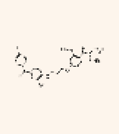 CCCc1cc(C(=O)c2ccc(F)cc2)ccc1OCCCOc1ccc(NC(OCC)C(=O)O)c(C=N)c1